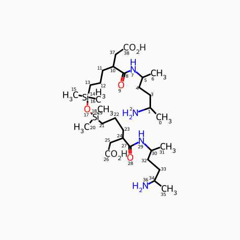 CC(N)CCC(C)NC(=O)C(CCC[Si](C)(C)O[Si](C)(C)CCCC(CC(=O)O)C(=O)NC(C)CCC(C)N)CC(=O)O